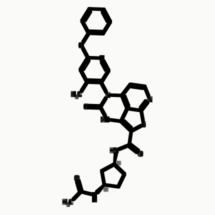 CC(=O)N[C@@H]1CC[C@H](NC(=O)c2sc3nccc4c3c2NC(=O)N4c2cnc(Oc3ccccc3)cc2C)C1